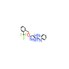 FC(F)(F)c1ccccc1COc1cc(-c2nc3ccccc3[nH]2)[nH]n1